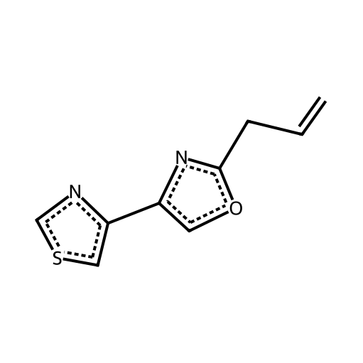 C=CCc1nc(-c2cscn2)co1